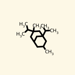 CC1CC2CC(C)(C(C)C)CC(C(C)C)(C1)C2